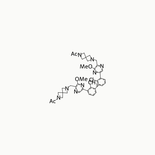 COc1nc(-c2cccc(-c3cccc(-c4cnc(CN5CC6(C5)CN(C(C)=O)C6)c(OC)n4)c3Cl)c2C)cnc1CN1CC2(C1)CN(C(C)=O)C2